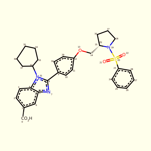 O=C(O)c1ccc2c(c1)nc(-c1ccc(OC[C@@H]3CCCN3S(=O)(=O)c3ccccc3)cc1)n2C1CCCCC1